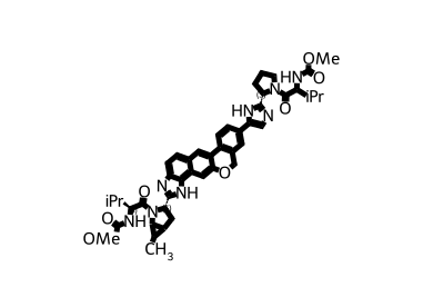 COC(=O)NC(C(=O)N1CCC[C@H]1c1ncc(-c2ccc3c(c2)COc2cc4c(ccc5nc([C@@H]6CC7C(C)C7N6C(=O)[C@@H](NC(=O)OC)C(C)C)[nH]c54)cc2-3)[nH]1)C(C)C